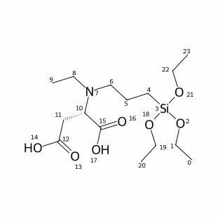 CCO[Si](CCCN(CC)[C@@H](CC(=O)O)C(=O)O)(OCC)OCC